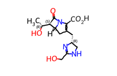 C[C@@H](O)[C@H]1C(=O)N2C(C(=O)O)=C(C[C@@H]3CNC(CO)=N3)C[C@H]12